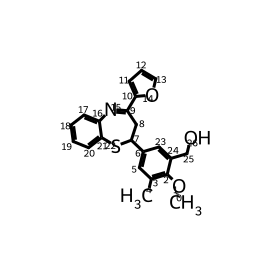 COc1c(C)cc(C2CC(c3ccco3)=Nc3ccccc3S2)cc1CO